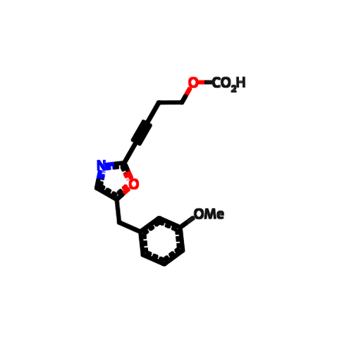 COc1cccc(Cc2cnc(C#CCCOC(=O)O)o2)c1